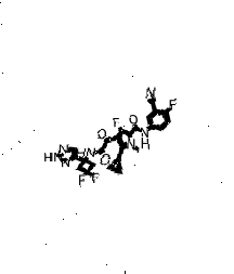 Cn1c(C(=O)Nc2ccc(F)c(C#N)c2)c(F)c(C(=O)C(=O)NC2(c3cn[nH]n3)CC(F)(F)C2)c1C1CC1